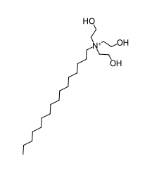 CCCCCCCCCCCCCCCC[N+](CCO)(CCO)CCO